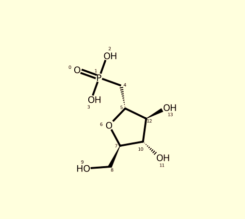 O=P(O)(O)C[C@H]1O[C@H](CO)[C@@H](O)[C@@H]1O